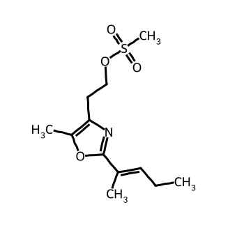 CCC=C(C)c1nc(CCOS(C)(=O)=O)c(C)o1